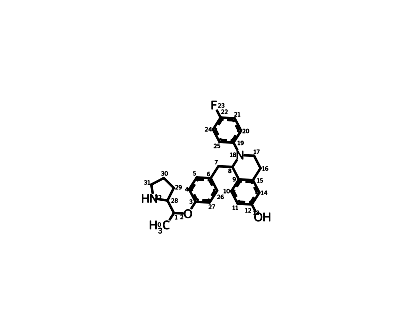 CC(Oc1ccc(CC2c3ccc(O)cc3CCN2c2ccc(F)cc2)cc1)C1CCCN1